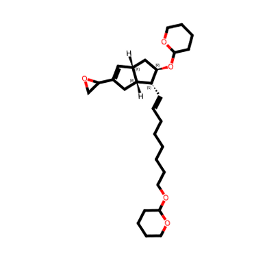 C(=C[C@@H]1[C@@H]2CC(C3CO3)=C[C@@H]2C[C@H]1OC1CCCCO1)CCCCCCOC1CCCCO1